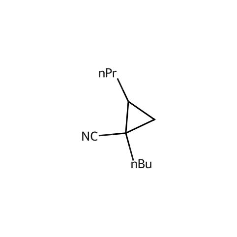 CCCCC1(C#N)CC1CCC